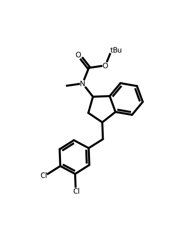 CN(C(=O)OC(C)(C)C)C1CC(Cc2ccc(Cl)c(Cl)c2)c2ccccc21